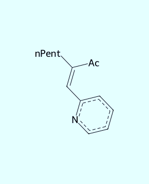 CCCCCC(=Cc1ccccn1)C(C)=O